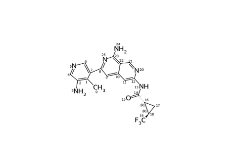 Cc1c(N)cncc1-c1cc2cc(NC(=O)[C@@H]3C[C@H]3C(F)(F)F)ncc2c(N)n1